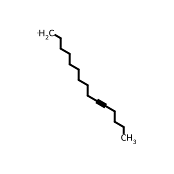 [CH2]CCCCCCCCC#CCCCC